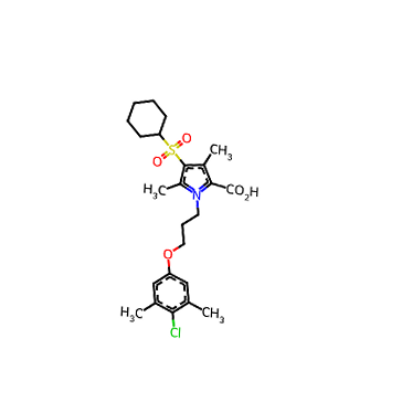 Cc1cc(OCCCn2c(C)c(S(=O)(=O)C3CCCCC3)c(C)c2C(=O)O)cc(C)c1Cl